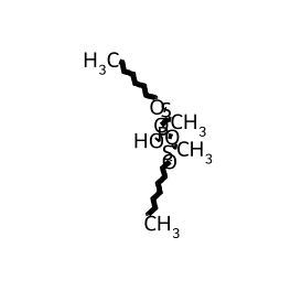 CCCCCCCCOSC(C)OP(O)OC(C)SOCCCCCCCC